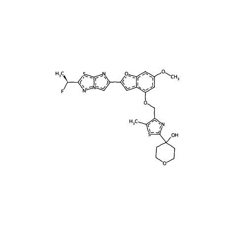 COc1cc(OCc2nc(C3(O)CCOCC3)sc2C)c2cc(-c3cn4nc([C@H](C)F)sc4n3)oc2c1